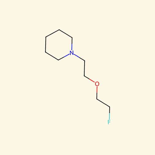 FCCOCCN1CCCCC1